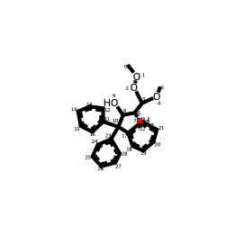 COOC(OC)C(N)C(O)C(c1ccccc1)(c1ccccc1)c1ccccc1